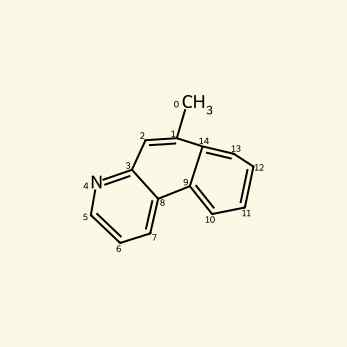 Cc1cc2ncccc2c2ccccc12